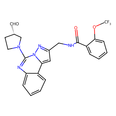 O=C[C@H]1CCN(c2nc3ccccc3c3cc(CNC(=O)c4ccccc4OC(F)(F)F)nn23)C1